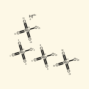 [Hf+4].[O]=[Mn](=[O])(=[O])[O-].[O]=[Mn](=[O])(=[O])[O-].[O]=[Mn](=[O])(=[O])[O-].[O]=[Mn](=[O])(=[O])[O-]